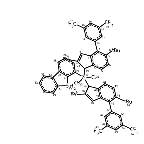 CC(C)C1=Cc2c(ccc(C(C)(C)C)c2-c2cc(C(F)(F)F)cc(C(F)(F)F)c2)[CH]1[Zr]([Cl])([Cl])([c]1cccc2c1[SiH2]c1ccccc1-2)[CH]1C(C(C)C)=Cc2c1ccc(C(C)(C)C)c2-c1cc(C(F)(F)F)cc(C(F)(F)F)c1